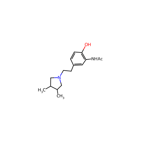 CC(=O)Nc1cc(CCN2CC(C)C(C)C2)ccc1O